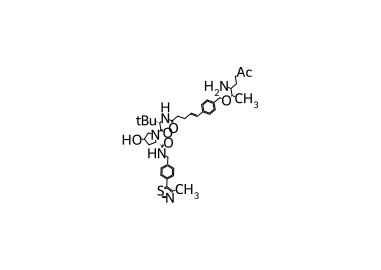 CC(=O)CC[C@H](N)[C@@H](C)OCc1ccc(/C=C/CCC(=O)N[C@H](C(=O)N2C[C@H](O)C[C@H]2C(=O)NCc2ccc(-c3scnc3C)cc2)C(C)(C)C)cc1